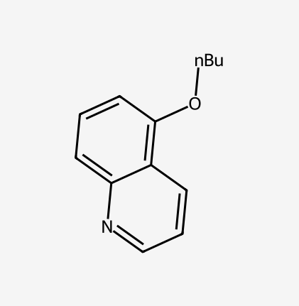 CCCCOc1cccc2ncccc12